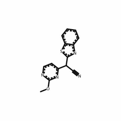 COc1nccc(C(C#N)c2nc3ccccc3s2)n1